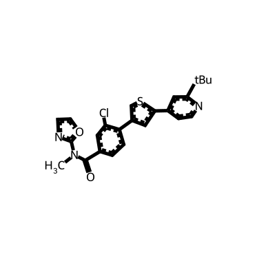 CN(C(=O)c1ccc(-c2csc(-c3ccnc(C(C)(C)C)c3)c2)c(Cl)c1)c1ncco1